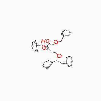 O=CC[C@H](OCc1ccccc1)[C@H](O)COCc1ccccc1.c1ccc(CCc2ccccc2)cc1